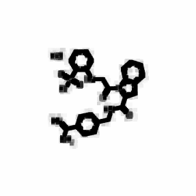 CCS(=O)(=O)c1ccccc1NCC(=O)n1c(C(=O)NCc2ccc(C(=N)N)cc2)cc2ccccc21.Cl